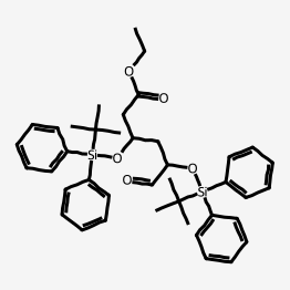 CCOC(=O)CC(CC(C=O)O[Si](c1ccccc1)(c1ccccc1)C(C)(C)C)O[Si](c1ccccc1)(c1ccccc1)C(C)(C)C